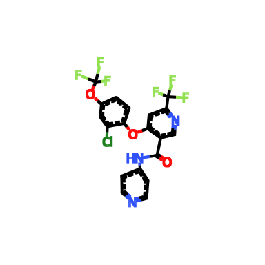 O=C(Nc1ccncc1)c1cnc(C(F)(F)F)cc1Oc1ccc(OC(F)(F)F)cc1Cl